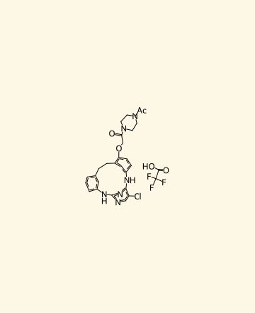 CC(=O)N1CCN(C(=O)COc2ccc3cc2CCc2cccc(c2)Nc2ncc(Cl)c(n2)N3)CC1.O=C(O)C(F)(F)F